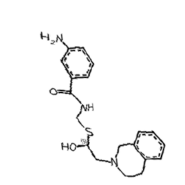 Nc1cccc(C(=O)NCS[C@H](O)CN2CCc3ccccc3C2)c1